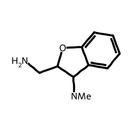 CNC1c2ccccc2OC1CN